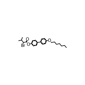 CCCCCCCOc1ccc(-c2ccc(OC(=O)C(Br)C(C)C)cc2)cc1